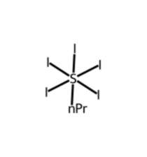 CCCS(I)(I)(I)(I)I